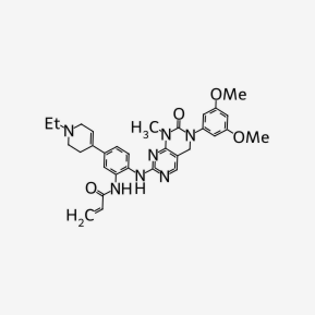 C=CC(=O)Nc1cc(C2=CCN(CC)CC2)ccc1Nc1ncc2c(n1)N(C)C(=O)N(c1cc(OC)cc(OC)c1)C2